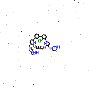 COc1nc(-c2cccc(-c3cccc(-c4ccc(CN5CC6(CCN6)C5)c(OC)n4)c3Cl)c2Cl)ccc1CN1CCCNC1